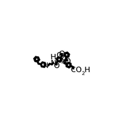 O=C(O)Cc1ccc(CN2C(=O)c3ccccc3S(=O)(=O)c3ccc(C(=O)NCCCN4CCC(Cc5ccccc5)CC4)cc32)cc1